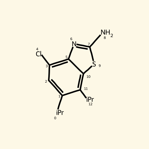 CC(C)c1cc(Cl)c2nc(N)sc2c1C(C)C